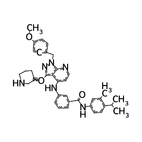 COc1ccc(Cn2nc(O[C@@H]3CCCNC3)c3c(Nc4cccc(C(=O)Nc5ccc(C(C)C)c(C)c5)c4)ccnc32)cc1